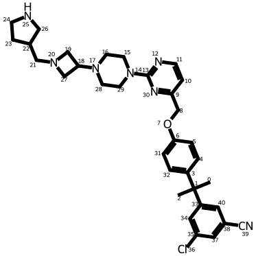 CC(C)(c1ccc(OCc2ccnc(N3CCN(C4CN(CC5CCNC5)C4)CC3)n2)cc1)c1cc(Cl)cc(C#N)c1